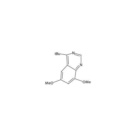 COc1cc(OC)c2ncnc(C(C)(C)C)c2c1